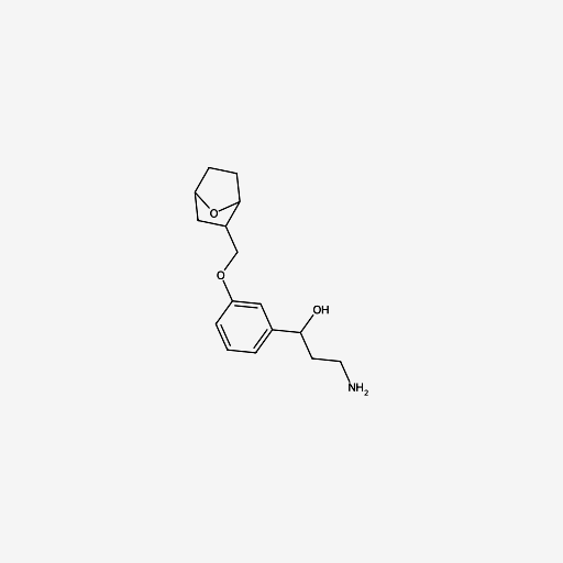 NCCC(O)c1cccc(OCC2CC3CCC2O3)c1